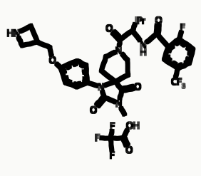 CC(C)C(NC(=O)c1cc(C(F)(F)F)ccc1F)C(=O)N1CCC2(CC1)C(=O)N(C)C(=O)N2c1ccc(OCC2CNC2)cc1.O=C(O)C(F)(F)F